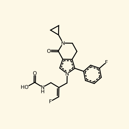 O=C(O)NC/C(=C\F)Cn1cc2c(c1-c1cccc(F)c1)CCN(C1CC1)C2=O